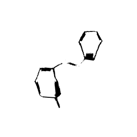 Cc1cccc(N=Nc2ccccc2)c1